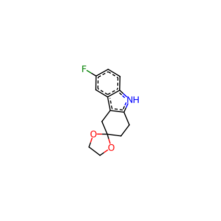 Fc1ccc2[nH]c3c(c2c1)CC1(CC3)OCCO1